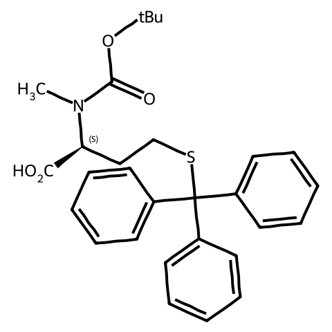 CN(C(=O)OC(C)(C)C)[C@@H](CCSC(c1ccccc1)(c1ccccc1)c1ccccc1)C(=O)O